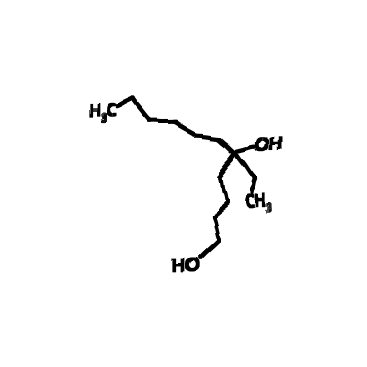 CCCCCCC(O)(CC)CCCCO